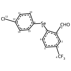 O=Cc1cc(C(F)(F)F)ccc1[Se]c1ccc(Cl)cc1